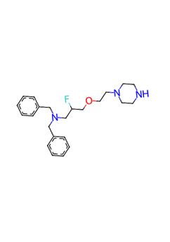 FC(COCCN1CCNCC1)CN(Cc1ccccc1)Cc1ccccc1